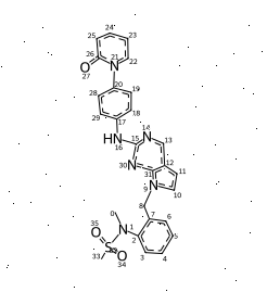 CN(c1ccccc1Cn1ccc2cnc(Nc3ccc(-n4ccccc4=O)cc3)nc21)S(C)(=O)=O